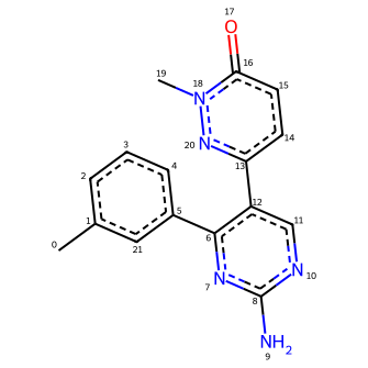 Cc1cccc(-c2nc(N)ncc2-c2ccc(=O)n(C)n2)c1